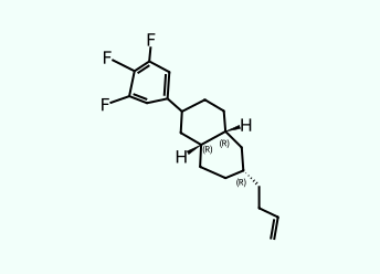 C=CCC[C@@H]1CC[C@@H]2CC(c3cc(F)c(F)c(F)c3)CC[C@@H]2C1